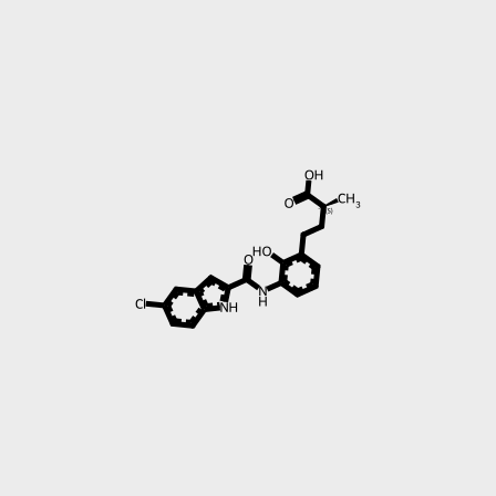 C[C@@H](CCc1cccc(NC(=O)c2cc3cc(Cl)ccc3[nH]2)c1O)C(=O)O